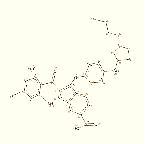 Cc1cc(F)cc(C)c1C(=O)c1sc2cc(C(=O)O)ccc2c1Oc1ccc(NC2CCN(CCCF)C2)cc1